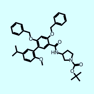 COc1ccc(C(C)C)cc1-c1cc(C(=O)NC2CCN(C(=O)OC(C)(C)C)C2)c(OCc2ccccc2)cc1OCc1ccccc1